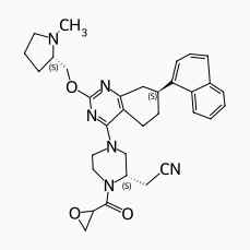 CN1CCC[C@H]1COc1nc2c(c(N3CCN(C(=O)C4CO4)[C@@H](CC#N)C3)n1)CC[C@H](c1cccc3ccccc13)C2